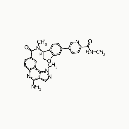 CNC(=O)c1ccc(-c2ccc3c(c2)OC[C@H]3N(C)C(=O)c2ccc3nc(N)c4cnn(C)c4c3c2)cn1